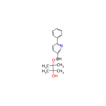 CC(C)(O)C(C)(C)OBc1ccc(-c2ccccc2)nc1